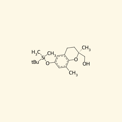 Cc1cc(O[Si](C)(C)C(C)(C)C)cc2c1O[C@](C)(CO)CC2